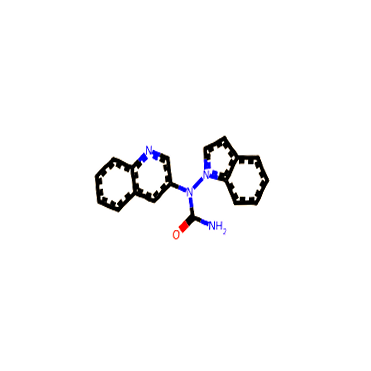 NC(=O)N(c1cnc2ccccc2c1)n1ccc2ccccc21